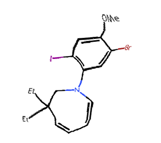 CCC1(CC)C=CC=CN(c2cc(Br)c(OC)cc2I)C1